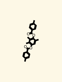 Cc1ccc(C(=O)Oc2cc(C)c(OC(=O)c3ccc(C)cc3)c(C)c2C)cc1